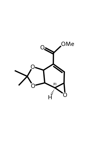 COC(=O)C1=CC2O[C@H]2C2OC(C)(C)OC12